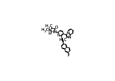 CNC(C)C(=O)Nc1ccc(-c2c(C)nc3ccccn23)c(C#Cc2ccc3cc(F)ccc3c2)n1